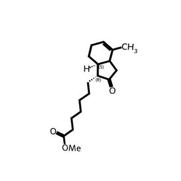 COC(=O)CCCCCC[C@H]1C(=O)CC2C(C)=CCC[C@@H]21